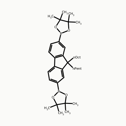 CCCCCCCCC1(CCCCC)c2cc(B3OC(C)(C)C(C)(C)O3)ccc2-c2ccc(B3OC(C)(C)C(C)(C)O3)cc21